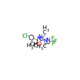 CCc1nn2c(-c3ccc(Cl)cc3C)c(C)oc2c1-n1nc(C(F)(F)F)cc1C